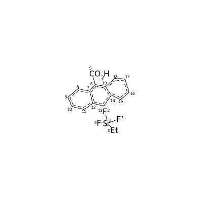 CC[Si](F)(F)F.O=C(O)c1c2ccccc2cc2ccccc12